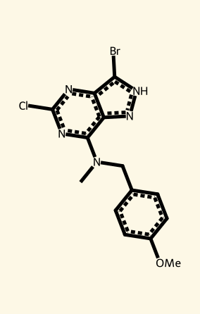 COc1ccc(CN(C)c2nc(Cl)nc3c(Br)[nH]nc23)cc1